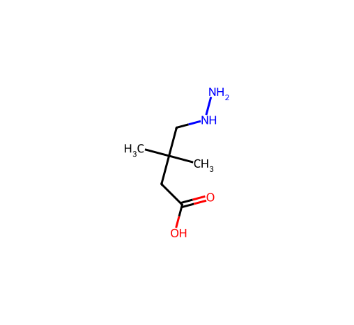 CC(C)(CNN)CC(=O)O